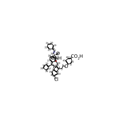 O=C(O)c1ccc(OCCc2c(CCNS(=O)(=O)/C=C/c3ccccc3)n(C(c3ccccc3)c3ccccc3)c3ccc(Cl)cc23)cc1